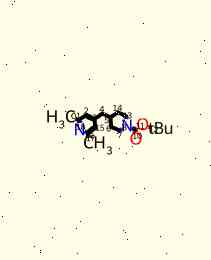 Cc1cc(CC2CCN(C(=O)OC(C)(C)C)CC2)cc(C)n1